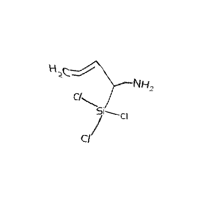 C=CC(N)[Si](Cl)(Cl)Cl